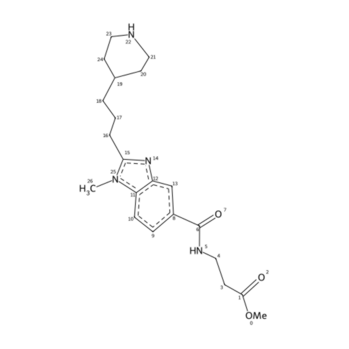 COC(=O)CCNC(=O)c1ccc2c(c1)nc(CCCC1CCNCC1)n2C